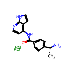 C[C@@H](N)c1ccc(C(=O)Nc2ccnc3[nH]ccc23)cc1.Cl.Cl